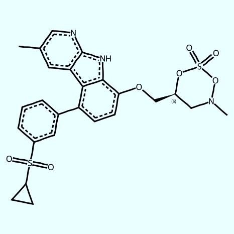 Cc1cnc2[nH]c3c(OC[C@@H]4CN(C)OS(=O)(=O)O4)ccc(-c4cccc(S(=O)(=O)C5CC5)c4)c3c2c1